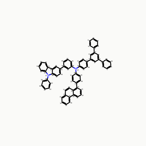 c1ccc(-c2cc(-c3ccccc3)cc(-c3ccc(N(c4ccc(-c5cccc6c5ccc5ccccc56)cc4)c4cccc(-c5ccc6c(c5)c5ccccc5n6-c5ccccc5)c4)cc3)c2)cc1